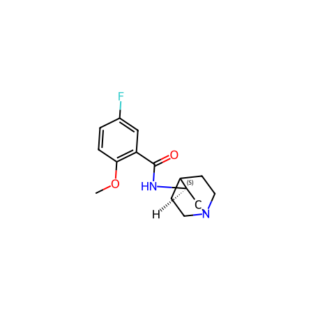 COc1ccc(F)cc1C(=O)N[C@@H]1CN2CCC1CC2